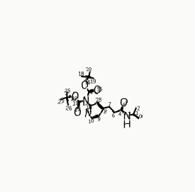 CC(C)NC(=O)CCc1ccnc(N(C(=O)OC(C)(C)C)C(=O)OC(C)(C)C)c1